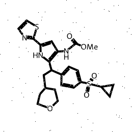 COC(=O)Nc1cc(-c2nccs2)[nH]c1C(CC1CCOCC1)c1ccc(S(=O)(=O)C2CC2)cc1